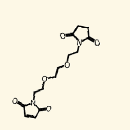 O=C1C=CC(=O)N1CCOCCOCCN1C(=O)CCC1=O